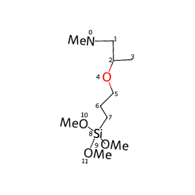 CNCC(C)OCCC[Si](OC)(OC)OC